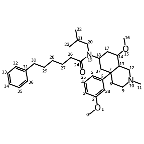 COc1cccc(C23CCN(C)CC2C(OC)CC(N(CC(C)C)C(=O)CCCCCc2ccccc2)C3)c1